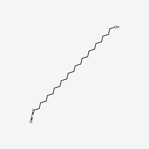 O=C=NCCCCCCCCCCCCCCCCCCCCCCO